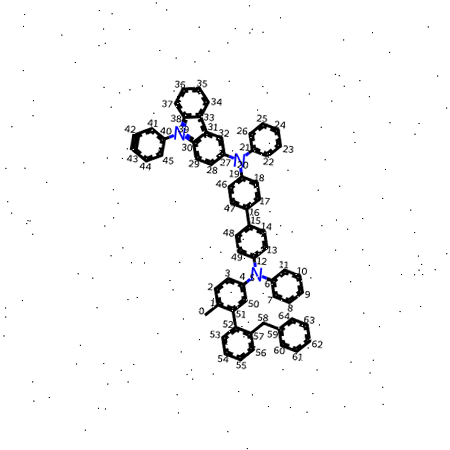 Cc1ccc(N(c2ccccc2)c2ccc(-c3ccc(N(c4ccccc4)c4ccc5c(c4)c4ccccc4n5-c4cc#ccc4)cc3)cc2)cc1-c1ccccc1Cc1ccccc1